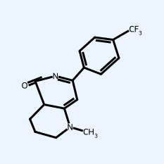 CN1CCCC2C(=O)N=C(c3ccc(C(F)(F)F)cc3)C=C21